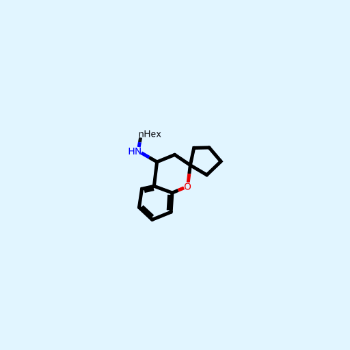 CCCCCCNC1CC2(CCCC2)Oc2ccccc21